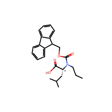 CCCN(C(=O)OCC1c2ccccc2-c2ccccc21)[C@H](CC(C)C)C(=O)O